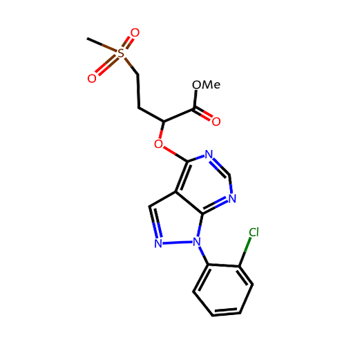 COC(=O)C(CCS(C)(=O)=O)Oc1ncnc2c1cnn2-c1ccccc1Cl